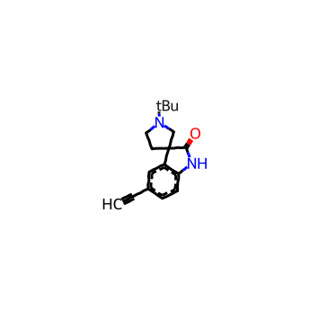 C#Cc1ccc2c(c1)C1(CCN(C(C)(C)C)C1)C(=O)N2